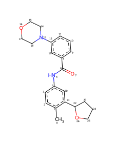 Cc1ccc(NC(=O)c2cccc(N3CCOCC3)c2)cc1C1CCCO1